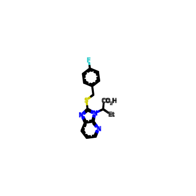 CCC(C(=O)O)n1c(SCc2ccc(F)cc2)nc2cccnc21